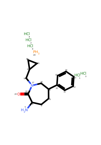 Cl.Cl.Cl.Cl.Cl.NC1CCC(c2ccccc2)CN(CC2CC2)C1=O.P